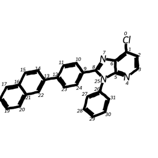 Clc1ccnc2c1nc(-c1ccc(-c3ccc4ccccc4c3)cc1)n2-c1ccccc1